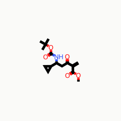 C=C(C(=O)CC(NC(=O)OC(C)(C)C)C1CC1)C(=O)OC